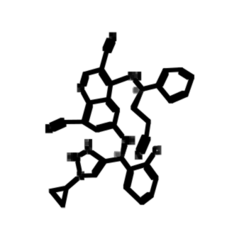 N#CCC[C@@H](Nc1c(C#N)cnc2c(C#N)cc(N[C@H](C3=CN(C4CC4)NN3)c3ccccc3Cl)cc12)c1ccccc1